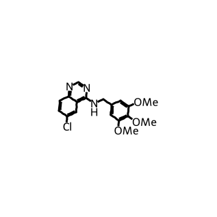 COc1cc(CNc2ncnc3ccc(Cl)cc23)cc(OC)c1OC